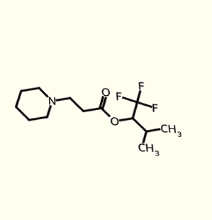 CC(C)C(OC(=O)CCN1CCCCC1)C(F)(F)F